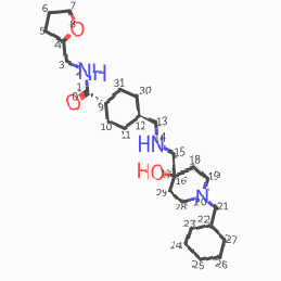 O=C(NCC1CCCO1)[C@H]1CC[C@H](CNCC2(O)CCN(CC3CCCCC3)CC2)CC1